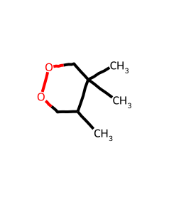 CC1COOCC1(C)C